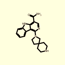 NC(=O)c1cnc(N2CCC3(CCNCC3)C2)c2c1[nH]c1ccccc12